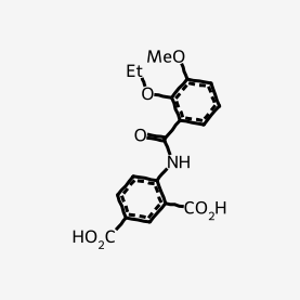 CCOc1c(OC)cccc1C(=O)Nc1ccc(C(=O)O)cc1C(=O)O